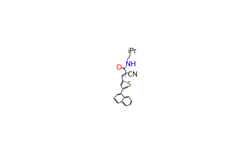 CC(C)CCNC(=O)/C(C#N)=C/c1cc(-c2cccc3ccccc23)cs1